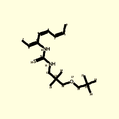 C\C=C/C=C\C(=C/C)NC(=S)NCC(C)(C)COCC(C)(C)C